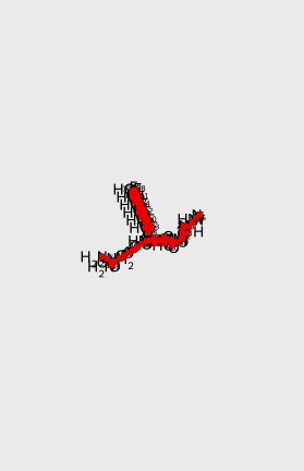 NC(=O)CCC(N)(CCCOCCOCCOCCCNS(=O)(=O)c1ccc(-c2ccc(S(=O)(=O)NC(CNC(=O)c3ccc4c(cnn4CCCNc4ncc[nH]4)c3)C(=O)O)cc2)cc1)C(N)=O.O=C(O)C(F)(F)F.O=C(O)C(F)(F)F.O=C(O)C(F)(F)F.O=C(O)C(F)(F)F.O=C(O)C(F)(F)F.O=C(O)C(F)(F)F